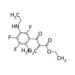 C=C(C(=O)OCC)C(=O)c1c(C)c(F)c(F)c(NCC)c1F